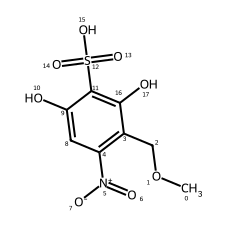 COCc1c([N+](=O)[O-])cc(O)c(S(=O)(=O)O)c1O